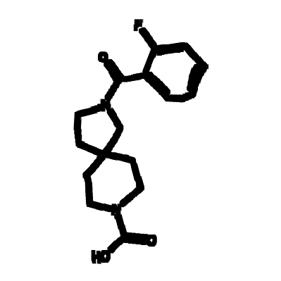 O=C(O)N1CCC2(CC1)CCN(C(=O)c1ccccc1F)C2